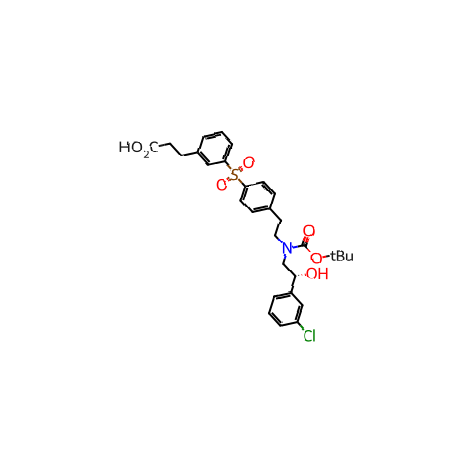 CC(C)(C)OC(=O)N(CCc1ccc(S(=O)(=O)c2cccc(CCC(=O)O)c2)cc1)C[C@H](O)c1cccc(Cl)c1